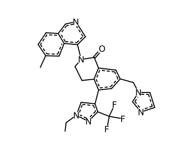 CCn1cc(-c2cc(Cn3ccnc3)cc3c2CCN(c2cncc4ccc(C)cc24)C3=O)c(C(F)(F)F)n1